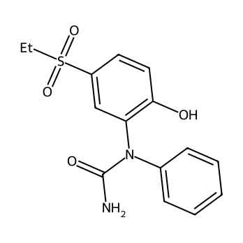 CCS(=O)(=O)c1ccc(O)c(N(C(N)=O)c2ccccc2)c1